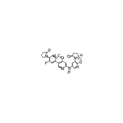 COc1cc(Nc2cnc3c(c2)N2C(=O)CC[C@H]2CO3)ncc1-c1ccc(N2CCCC2=O)c(F)c1